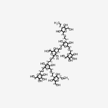 CCC[C@@H]1C(O)C(CO)OC(COCC[C@H]2C(O)[C@H](COCC[C@@H]3C(O)C(CO)OC(COCC[C@@H]4C(O)C(COC[C@@H]5OC(CO)C(O)[C@@H](O)C5O)OC(COCC[C@@H]5C(O)C(CO)O[C@@H](COC)C5O)[C@H]4O)[C@H]3O)OC(COCC3OC(CO)C(O)[C@@H](O)[C@@H]3O)[C@H]2O)[C@H]1O